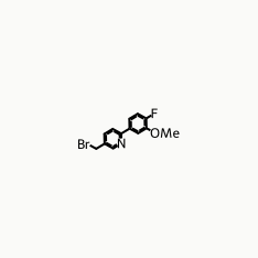 COc1cc(-c2ccc(CBr)cn2)ccc1F